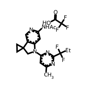 CCC(F)(F)c1nc(C)cc(N2CC3(CC3)c3cnc(NC(C)=O)cc32)n1.O=C(O)C(F)(F)F